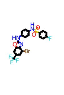 O=S(=O)(Nc1ccc(Nc2nc3c(Br)cc(C(F)(F)F)cc3o2)cc1)c1ccc(F)cc1